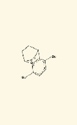 CC(C)(C)c1ccc(C(C)(C)C)c2c1C1CCC2C(=O)O1